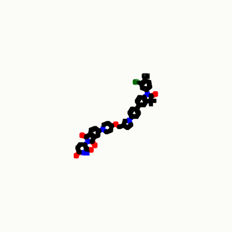 CC1(C)C(=O)N(c2ccc(C#N)c(Cl)c2)c2ccc(-c3ccc(N4CCC(COC5CCN(c6ccc7c(c6)C(=O)N(C6CCC(=O)NC6=O)C7=O)CC5)C4)cc3)cc21